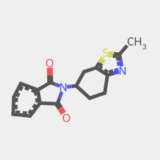 Cc1nc2c(s1)CC(N1C(=O)c3ccccc3C1=O)CC2